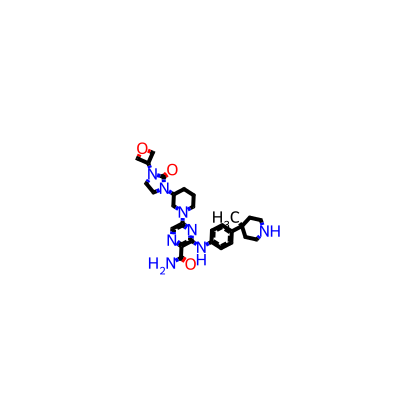 CC1(c2ccc(Nc3nc(N4CCCC(N5CCN(C6COC6)C5=O)C4)cnc3C(N)=O)cc2)CCNCC1